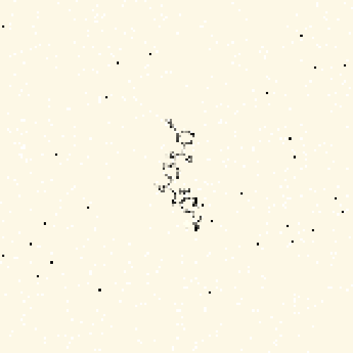 CO[C@H](c1ccc(NC(=O)c2cccc(C#N)c2)nc1)c1nc2cc(C(F)(F)F)cnc2[nH]1